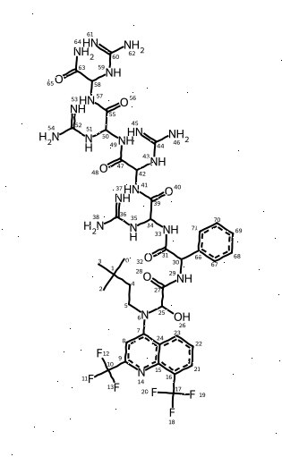 CC(C)(C)CCN(c1cc(C(F)(F)F)nc2c(C(F)(F)F)cccc12)C(O)C(=O)NC(C(=O)NC(NC(=N)N)C(=O)NC(NC(=N)N)C(=O)NC(NC(=N)N)C(=O)NC(NC(=N)N)C(N)=O)c1ccccc1